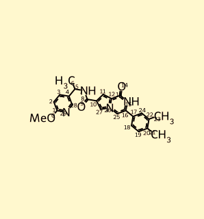 COc1ccc(C(C)NC(=O)c2cc3c(=O)[nH]c(-c4ccc(C)c(C)c4)cn3c2)cn1